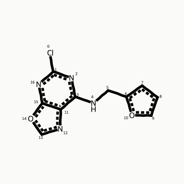 Clc1nc(NCc2ccco2)c2ncoc2n1